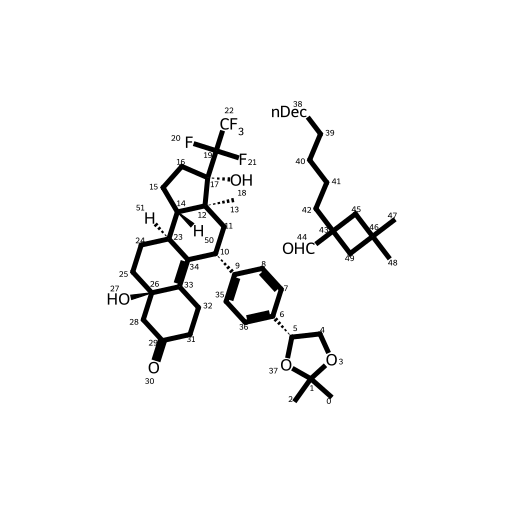 CC1(C)OC[C@@H](c2ccc([C@H]3C[C@@]4(C)[C@@H](CC[C@@]4(O)C(F)(F)C(F)(F)F)[C@@H]4CC[C@@]5(O)CC(=O)CCC5=C43)cc2)O1.CCCCCCCCCCCCCCC1(C=O)CC(C)(C)C1